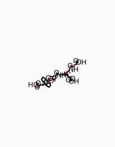 Cc1cc(C(=O)NCCC[N+](C)(CCCNC(=O)CCCC(=O)O)CCCS(=O)(=O)O)cc(C)c1OC(=O)c1c2ccccc2[n+](CCCS(=O)(=O)O)c2ccccc12